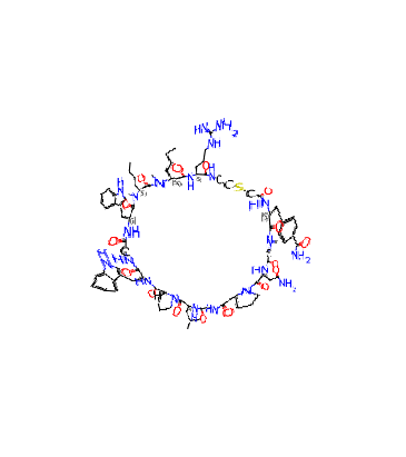 CCCC[C@H]1C(=O)N(C)[C@@H](CCCC)C(=O)N[C@@H](CCCNC(=N)N)C(=O)NCCSCC(=O)N[C@@H](Cc2ccc(C(N)=O)cc2)C(=O)N(C)CC(=O)N[C@@H](CC(N)=O)C(=O)N2CCCC2C(=O)NCC(=O)N[C@@H](CC(C)C)C(=O)N2CCC[C@H]2C(=O)N[C@@H](Cc2c[nH]c3ccccc23)C(=O)NCC(=O)N[C@@H](Cc2c[nH]c3ccccc23)C(=O)N1C